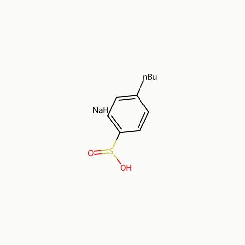 CCCCc1ccc(S(=O)O)cc1.[NaH]